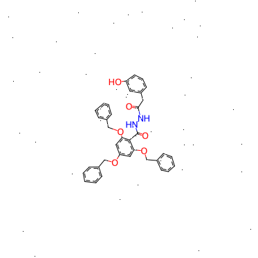 O=C(Cc1cccc(O)c1)NNC(=O)c1c(OCc2ccccc2)cc(OCc2ccccc2)cc1OCc1ccccc1